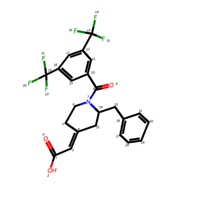 O=C(O)C=C1CCN(C(=O)c2cc(C(F)(F)F)cc(C(F)(F)F)c2)C(Cc2ccccc2)C1